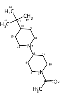 CC(=O)N1CCC(N2CCC(C(C)(C)C)CC2)CC1